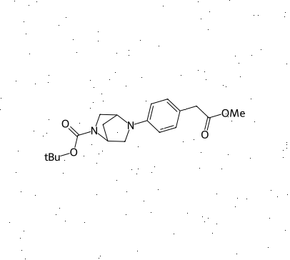 COC(=O)Cc1ccc(N2CC3CC2CN3C(=O)OC(C)(C)C)cc1